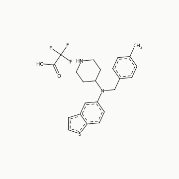 Cc1ccc(CN(c2ccc3sccc3c2)C2CCNCC2)cc1.O=C(O)C(F)(F)F